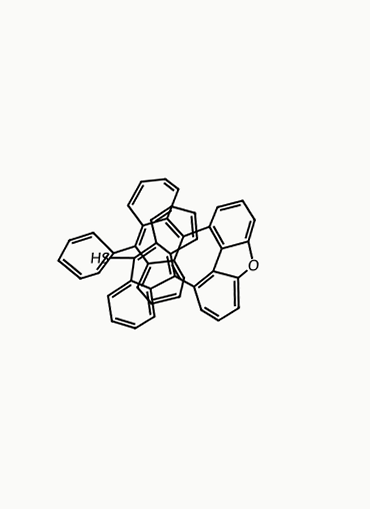 Sc1c2ccccc2c(-c2cccc3oc4cccc(-c5c6ccccc6c(-c6ccccc6)c6ccccc56)c4c23)c2ccccc12